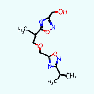 CC(C)c1noc(COCC(C)c2nc(CO)no2)n1